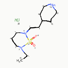 CCN1CCCN(CCC2CCNCC2)S1(=O)=O.Cl